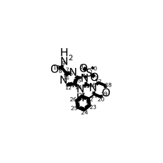 CS(=O)(=O)N1c2nc(C(N)=O)ncc2NC1N1CCOC[C@H]1c1ccccc1